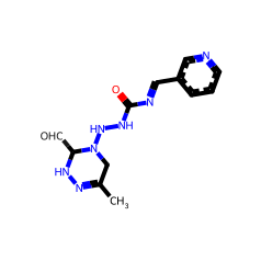 CC1=NNC(C=O)N(NNC(=O)/N=C/c2cccnc2)C1